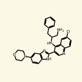 NCC(Cc1ccccc1)Nc1c(-c2nc3cc(N4CCOCC4)ccc3[nH]2)cnc2ccc(Cl)cc12